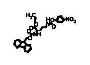 C=CCOC(=O)[C@H](CCCNC(=O)Oc1ccc([N+](=O)[O-])cc1)NC(=O)OCC1c2ccccc2-c2ccccc21